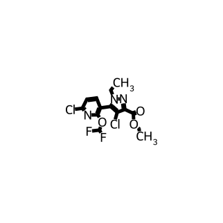 CCOC(=O)c1nn(CC)c(-c2ccc(Cl)nc2OC(F)F)c1Cl